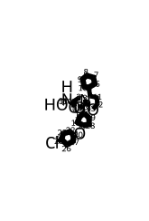 O=C(CN1C(c2ccccc2)CCOP1(=O)c1ccc(Oc2ccc(Cl)cc2)cc1)NO